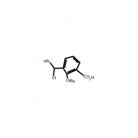 CCCC(CC)c1cccc(C(=O)O)c1OCC(C)C